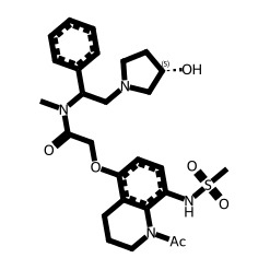 CC(=O)N1CCCc2c(OCC(=O)N(C)C(CN3CC[C@H](O)C3)c3ccccc3)ccc(NS(C)(=O)=O)c21